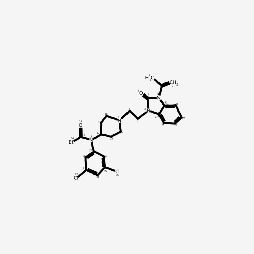 C=C(C)n1c(=O)n(CCN2CCC(N(C(=O)CC)c3cc(Cl)cc(Cl)c3)CC2)c2ccccc21